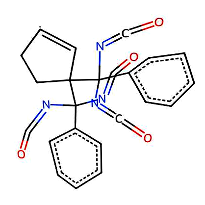 O=C=NC(N=C=O)(c1ccccc1)C1(C(N=C=O)(N=C=O)c2ccccc2)C=[C]CC1